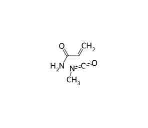 C=CC(N)=O.CN=C=O